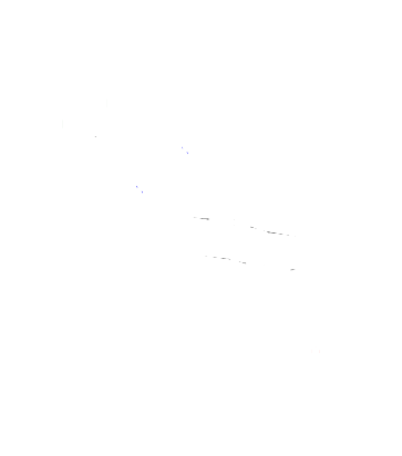 COS(=O)(=O)CC12C3C4C1C1C2C3C41c1nc(C(F)(F)F)cn1C(C)C